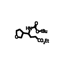 CCOC(=O)CCC(NC(=O)OC(C)(C)C)C1CCOC1